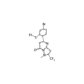 CCSc1cc(Br)ccc1-c1cc(=O)n2c(cc(C(F)(F)F)n2C)n1